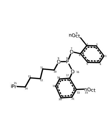 CCCCCCCCc1ccccc1OP(OCCCCCC(C)C)Oc1ccccc1CCCCCCCC